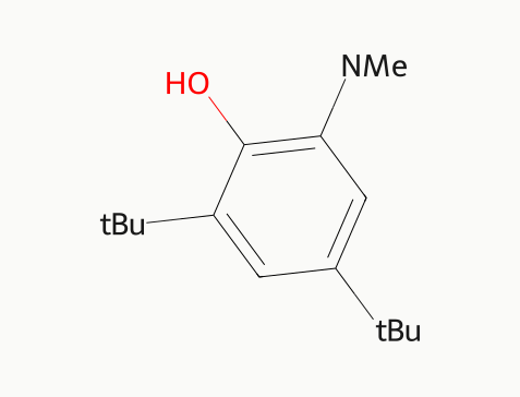 CNc1cc(C(C)(C)C)cc(C(C)(C)C)c1O